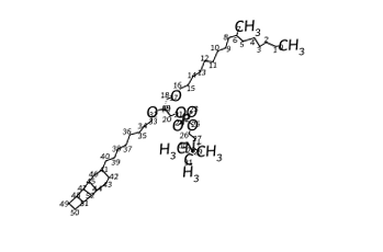 CCCCCCC(C)CCCCCCCCCOC[C@H](COP(=O)([O-])OCC[N+](C)(C)C)OCCCCCCCCC1CCC2C(C1)C1C3CCC3C21